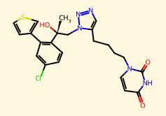 C[C@@](O)(Cn1nncc1CCCCn1ccc(=O)[nH]c1=O)c1ccc(Cl)cc1-c1ccsc1